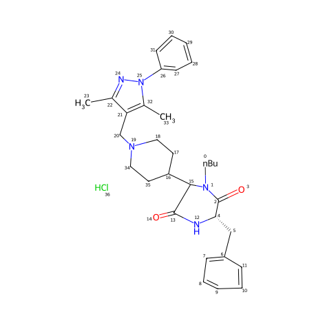 CCCCN1C(=O)[C@H](Cc2ccccc2)NC(=O)C1C1CCN(Cc2c(C)nn(-c3ccccc3)c2C)CC1.Cl